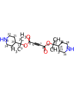 CC(C)(OC(=O)C#CC(=O)OC(C)(C)C1CCNCC1)C1CCNCC1